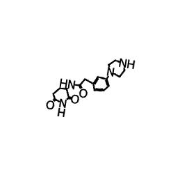 O=C1CCC(NC(=O)Cc2cccc(N3CCNCC3)c2)C(=O)N1